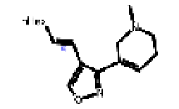 CCCCCC/C=C/c1conc1C1=CCCN(C)C1